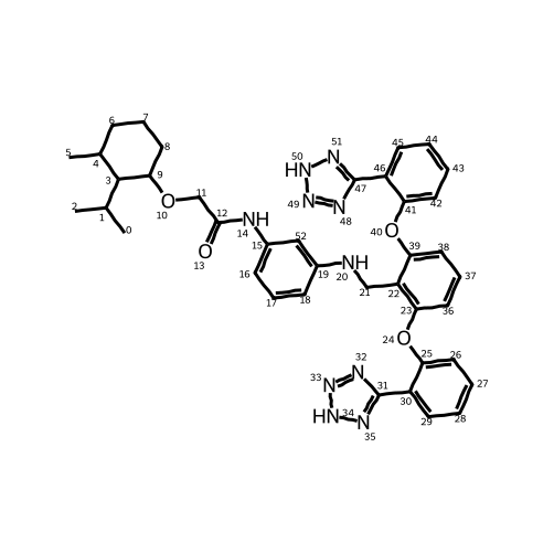 CC(C)C1C(C)CCCC1OCC(=O)Nc1cccc(NCc2c(Oc3ccccc3-c3nn[nH]n3)cccc2Oc2ccccc2-c2nn[nH]n2)c1